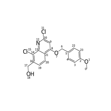 COc1ccc(COc2cc(Cl)nc3c(Cl)c(CO)ccc23)cc1